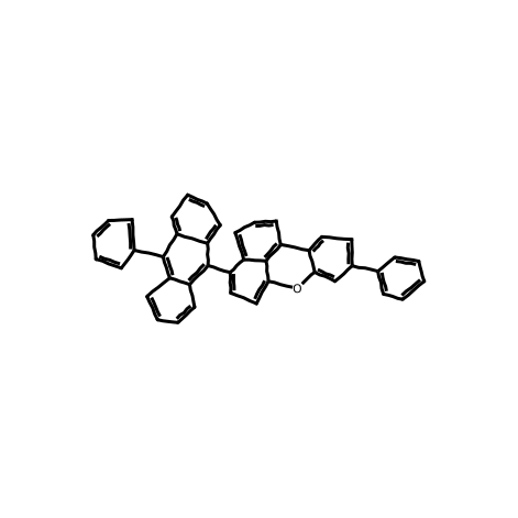 c1ccc(-c2ccc3c(c2)Oc2ccc(-c4c5ccccc5c(-c5ccccc5)c5ccccc45)c4cccc-3c24)cc1